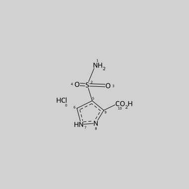 Cl.NS(=O)(=O)c1c[nH]nc1C(=O)O